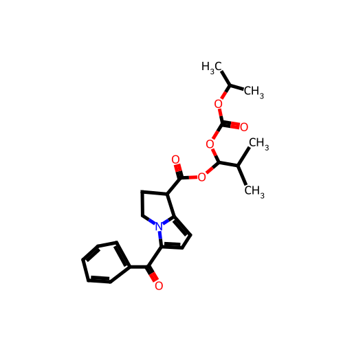 CC(C)OC(=O)OC(OC(=O)C1CCn2c(C(=O)c3ccccc3)ccc21)C(C)C